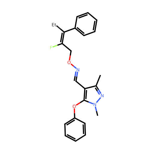 CCC(=C(F)CON=Cc1c(C)nn(C)c1Oc1ccccc1)c1ccccc1